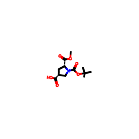 COC(=O)[C@H]1C[C@@H](C(=O)O)CN1C(=O)OC(C)(C)C